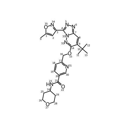 Cc1cc(-c2nnc3cc(C(C)(C)C)c(OCc4ccc(C(=O)NC5CCOCC5)cn4)nn23)no1